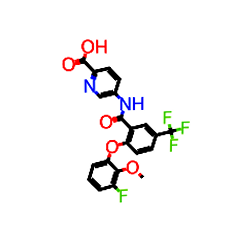 COc1c(F)cccc1Oc1ccc(C(F)(F)F)cc1C(=O)Nc1ccc(C(=O)O)nc1